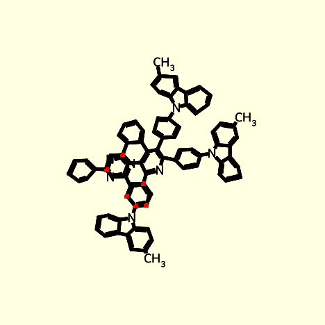 Cc1ccc2c(c1)c1ccccc1n2-c1ccc(-c2nc(-c3ccc(-n4c5ccccc5c5cc(C)ccc54)cc3)c(-c3ccc(-n4c5ccccc5c5cc(C)ccc54)cc3)c(-c3ccccc3-c3nc(-c4ccccc4)nc(-c4ccccc4)n3)c2-c2ccccc2)cc1